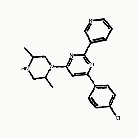 CC1CN(c2cc(-c3ccc(Cl)cc3)nc(-c3cccnc3)n2)C(C)CN1